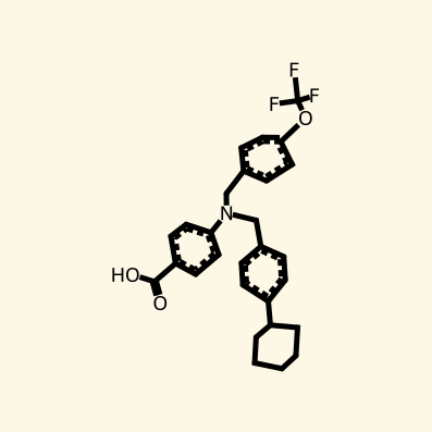 O=C(O)c1ccc(N(Cc2ccc(OC(F)(F)F)cc2)Cc2ccc(C3CCCCC3)cc2)cc1